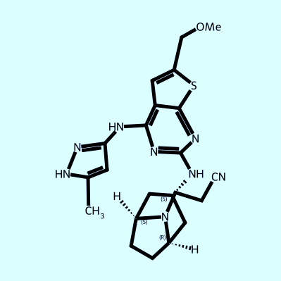 COCc1cc2c(Nc3cc(C)[nH]n3)nc(N[C@@H]3C[C@H]4CC[C@@H](C3)N4CCC#N)nc2s1